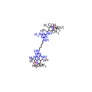 CCCCCCCCON1C(C)(C)CC(C(CCC)Nc2nc(N)nc(NCCCCCCNc3nc(N)nc(NC(CCC)C4CC(C)(C)N(OCCCCCCCC)C(C)(C)C4)n3)n2)CC1(C)C